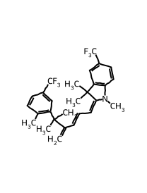 C=C(/C=C/C=C1/N(C)c2ccc(C(F)(F)F)cc2C1(C)C)C(C)(C)c1cc(C(F)(F)F)ccc1C